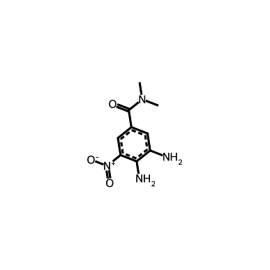 CN(C)C(=O)c1cc(N)c(N)c([N+](=O)[O-])c1